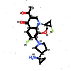 [2H]C(=O)c1cn([C@@H]2C[C@@H]2F)c2c(OC)c(N3CC[C@@H](C4(N)CC4)C3)c(F)cc2c1=O